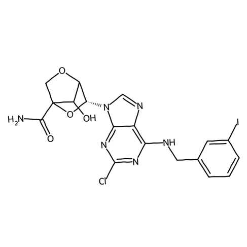 NC(=O)C12COC(C1O)[C@H](n1cnc3c(NCc4cccc(I)c4)nc(Cl)nc31)O2